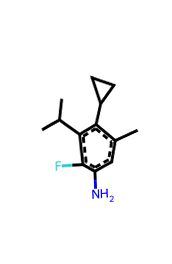 Cc1cc(N)c(F)c(C(C)C)c1C1CC1